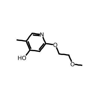 COCCOc1cc(O)c(C)cn1